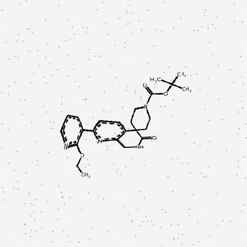 CCOc1ncccc1-c1ccc2c(n1)CNC(=O)C21CCN(C(=O)OC(C)(C)C)CC1